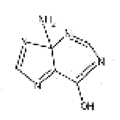 NC12N=CN=C(O)C1=NC=N2